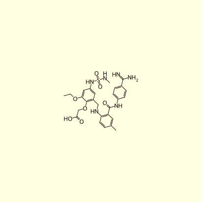 CCOc1cc(NS(=O)(=O)NC)cc(CNc2ccc(C)cc2C(=O)Nc2ccc(C(=N)N)cc2)c1OCC(=O)O